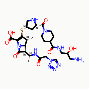 C[C@H]1C(S[C@@H]2CN[C@H](C(=O)N3CCC(C(=O)NCC(O)CN)CC3)C2)=C(C(=O)O)N2C(=O)[C@H]([C@@H](C)NC(=O)Cn3cnnn3)C12